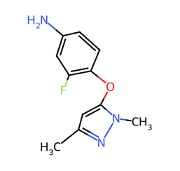 Cc1cc(Oc2ccc(N)cc2F)n(C)n1